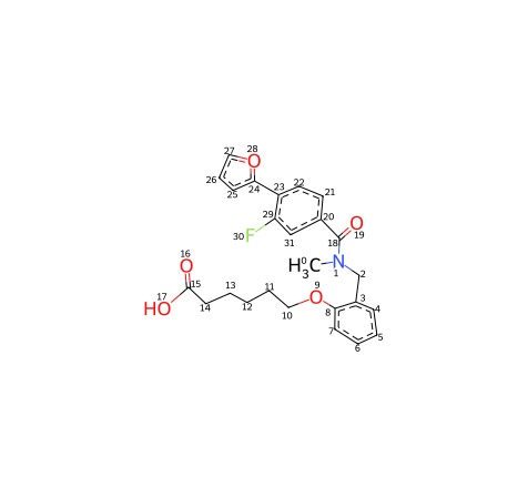 CN(Cc1ccccc1OCCCCCC(=O)O)C(=O)c1ccc(-c2ccco2)c(F)c1